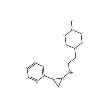 CN1CCC(CCNC2CC2c2ccccc2)CC1